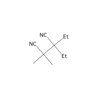 CCC(C#N)(CC)C(C)(C)C#N